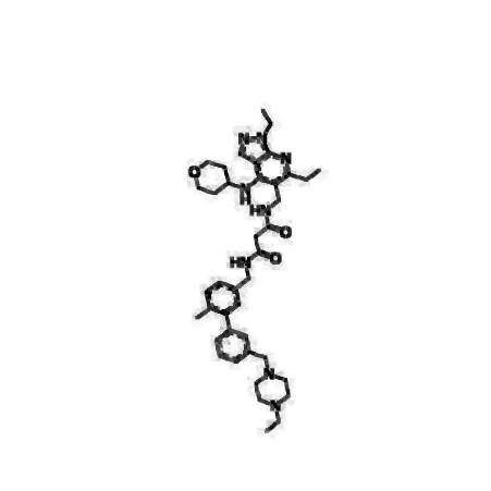 CCc1nc2c(cnn2CC)c(NC2CCOCC2)c1CNC(=O)CC(=O)NCc1ccc(C)c(-c2cccc(CN3CCN(CC)CC3)c2)c1